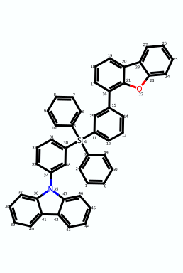 c1ccc([Si](c2ccccc2)(c2cccc(-c3cccc4c3oc3ccccc34)c2)c2cccc(-n3c4ccccc4c4ccccc43)c2)cc1